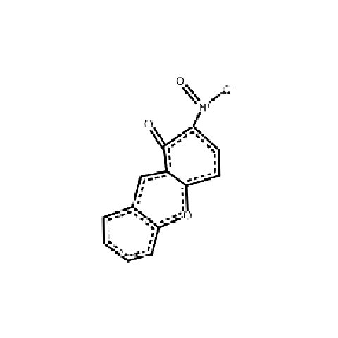 O=c1c2cc3ccccc3oc-2ccc1[N+](=O)[O-]